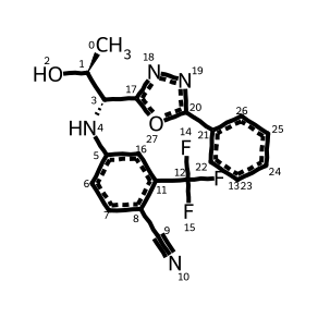 C[C@H](O)[C@@H](Nc1ccc(C#N)c(C(F)(F)F)c1)c1nnc(-c2ccccc2)o1